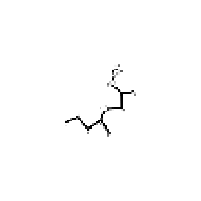 CCCC(C)OCC(C)OO